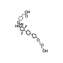 O=C(O)CC1CCC(Oc2nc3c(F)c(-c4ccc(-c5ccc(COCCOCCO)cc5)cc4)c(F)cc3[nH]2)CC1